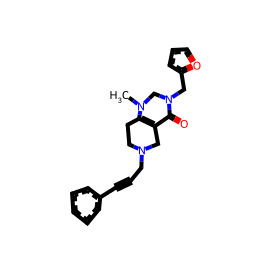 CN1CN(Cc2ccco2)C(=O)C2=C1CCN(CC#Cc1ccccc1)C2